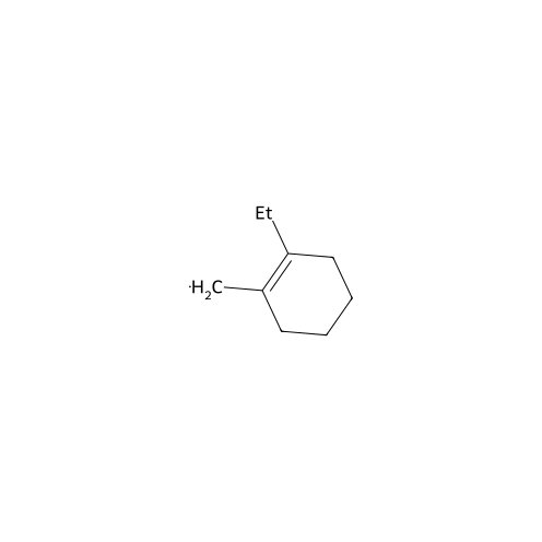 [CH2]C1=C(CC)CCCC1